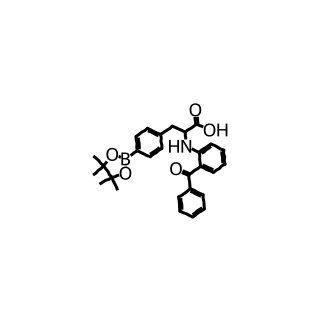 CC1(C)OB(c2ccc(CC(Nc3ccccc3C(=O)c3ccccc3)C(=O)O)cc2)OC1(C)C